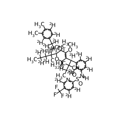 [2H]c1nc(S(=O)(=O)N([2H])c2c([2H])c([2H])c([2H])c([C@]([2H])(C3=C(OC)C(C)(C)[C@](C([2H])(C)C([2H])([2H])c4c([2H])c([2H])c(C)c(C)c4[2H])(C([2H])(C)C([2H])([2H])C([2H])([2H])C)OC3=O)C(C)(C)C([2H])([2H])C)c2[2H])c([2H])c([2H])c1C(F)(F)F